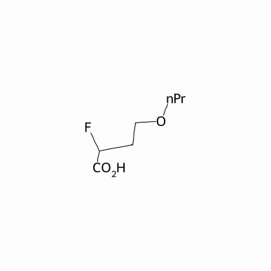 CCCOCCC(F)C(=O)O